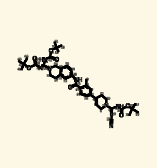 Cc1cc(C2=CCN(C(=BC#N)NC(=O)OC(C)(C)C)CC2)ccc1C(=O)Nc1ccc2c(c1)CCN(C(=NC(=O)OC(C)(C)C)NC(=O)OC(C)(C)C)C2